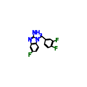 Nc1nc2cc(F)ccc2n1Cc1ccc(F)c(F)c1